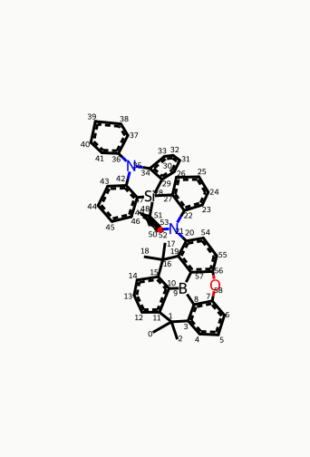 CC1(C)c2cccc3c2B2c4c1cccc4C(C)(C)c1c(N4c5ccccc5[Si]5(c6ccccc6N(c6ccccc6)c6ccccc65)c5ccccc54)ccc(c12)O3